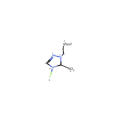 CCCCCCN1N=CN(F)C1[N+](=O)[O-]